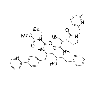 CCC(C)CN(C(=O)NC(Cc1ccc(-c2ccccn2)cc1)CC(O)C(Cc1ccccc1)NC(=O)C(N1CCN(Cc2cccc(C)n2)C1=O)C(C)(C)C)C(=O)OC